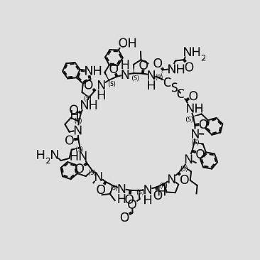 CCCC[C@H]1C(=O)N2CCC[C@@H]2C(=O)N[C@@H](COC=O)C(=O)N[C@@H](C(C)C)C(=O)N(C)[C@@H](Cc2ccccc2)C(=O)N[C@@H](CCCN)C(=O)N2CCC[C@@H]2C(=O)N[C@@H](Cc2c[nH]c3ccccc23)C(=O)N[C@@H](Cc2ccc(O)cc2)C(=O)N[C@@H](CC(C)C)C(=O)N[C@H](C(=O)NCC(N)=O)CSCC(=O)N[C@@H](Cc2ccccc2)C(=O)N(C)[C@@H](Cc2ccccc2)C(=O)N1C